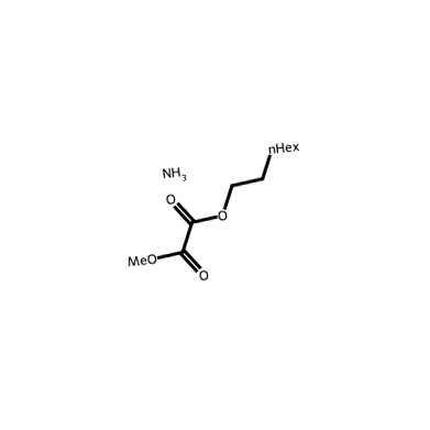 CCCCCCCCOC(=O)C(=O)OC.N